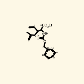 C=CC(CC(=C)C)C(NC(=O)OCc1ccccc1)C(=O)OCC